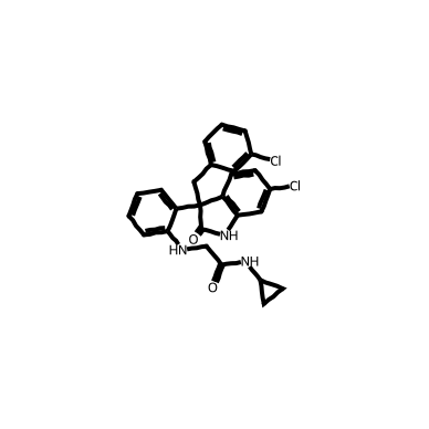 O=C(CNc1ccccc1C1(Cc2cccc(Cl)c2)C(=O)Nc2cc(Cl)ccc21)NC1CC1